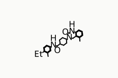 CCc1ccc(NC(=O)C2CCC(N3Cc4c(C)cccc4NC3=O)CC2)cc1C